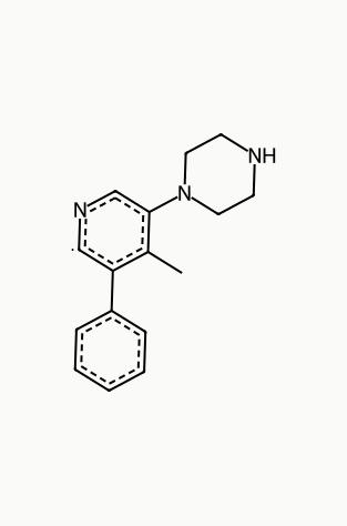 Cc1c(-c2ccccc2)[c]ncc1N1CCNCC1